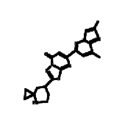 Cc1cn2nc(-c3cc(=O)n4nc(C5CCNC6(CC6)C5)sc4n3)cc(C)c2n1